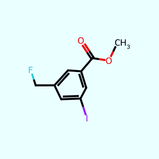 COC(=O)c1cc(I)cc(CF)c1